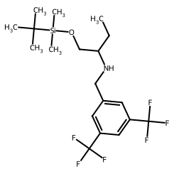 CCC(CO[Si](C)(C)C(C)(C)C)NCc1cc(C(F)(F)F)cc(C(F)(F)F)c1